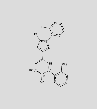 COc1ccccc1[C@@H](NC(=O)c1cc(O)n(-c2ccccc2F)n1)[C@@H](O)C(=O)O